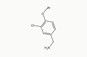 CC(C)Oc1ccc(CN)cc1Cl